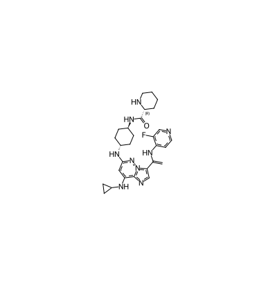 C=C(Nc1ccncc1F)c1cnc2c(NC3CC3)cc(N[C@H]3CC[C@H](NC(=O)[C@H]4CCCCN4)CC3)nn12